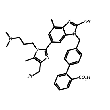 CCCc1nc2c(C)cc(-c3nc(CC(C)C)c(C)n3CCCN(C)C)cc2n1Cc1ccc(-c2ccccc2C(=O)O)cc1